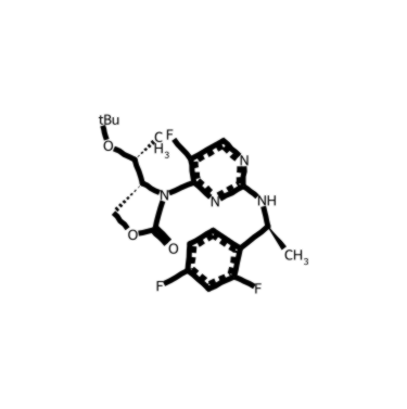 C[C@H](Nc1ncc(F)c(N2C(=O)OC[C@@H]2[C@@H](C)OC(C)(C)C)n1)c1ccc(F)cc1F